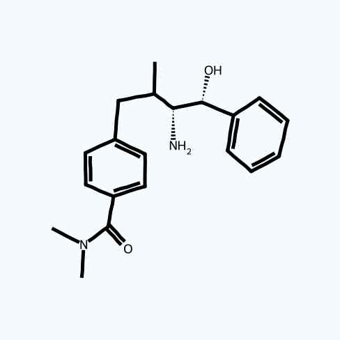 CC(Cc1ccc(C(=O)N(C)C)cc1)[C@@H](N)[C@H](O)c1ccccc1